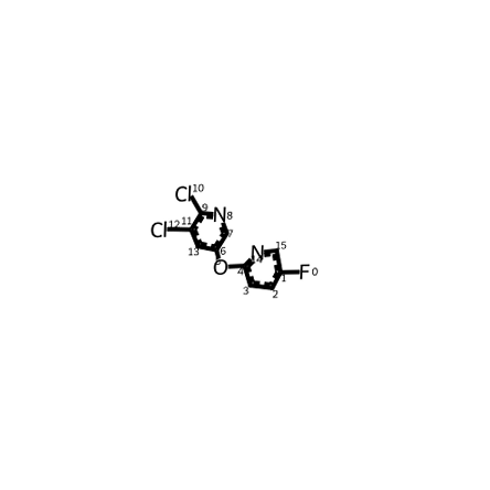 Fc1ccc(Oc2cnc(Cl)c(Cl)c2)nc1